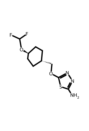 Nc1nnc(OC[C@H]2CC[C@H](OC(F)F)CC2)s1